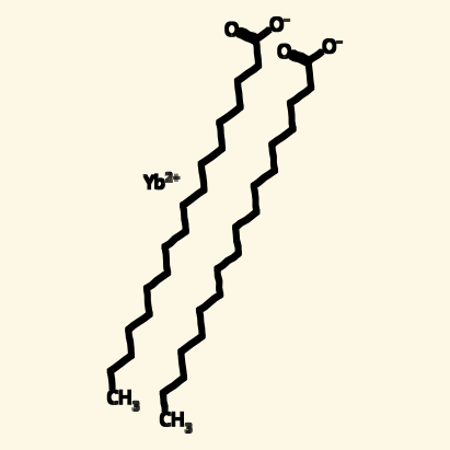 CCCCCCCCCCCCCCCCCC(=O)[O-].CCCCCCCCCCCCCCCCCC(=O)[O-].[Yb+2]